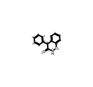 O=C1NOc2ccccc2C1c1ccccc1